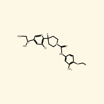 Cc1cc(NC(=O)N2CCC(F)(c3ncc([C@@H](O)CO)cc3Cl)CC2)ccc1OCF